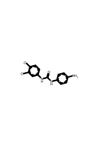 Nc1ccc(NC(=O)Nc2ccc(Cl)c(Cl)c2)cc1